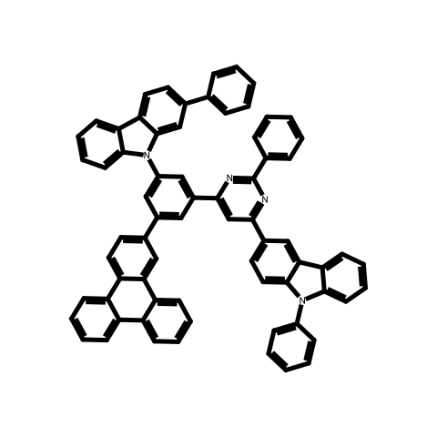 c1ccc(-c2ccc3c4ccccc4n(-c4cc(-c5ccc6c7ccccc7c7ccccc7c6c5)cc(-c5cc(-c6ccc7c(c6)c6ccccc6n7-c6ccccc6)nc(-c6ccccc6)n5)c4)c3c2)cc1